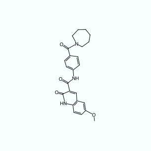 COc1ccc2[nH]c(=O)c(C(=O)Nc3ccc(C(=O)N4CCCCCC4)cc3)cc2c1